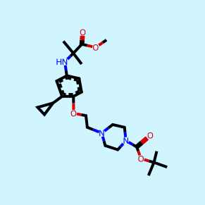 COC(=O)C(C)(C)Nc1ccc(OCCN2CCN(C(=O)OC(C)(C)C)CC2)c(C2CC2)c1